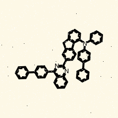 c1ccc(-c2ccc(-c3nc(-c4ccc5c(c4)Cc4cccc(N(c6ccccc6)c6ccc(-c7ccccc7)cc6)c4-5)nc4ccccc34)cc2)cc1